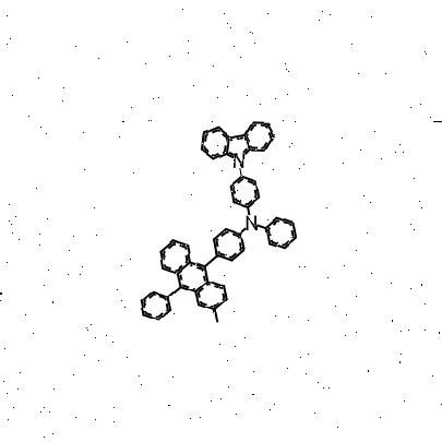 Cc1ccc2c(-c3ccc(N(c4ccccc4)c4ccc(-n5c6ccccc6c6ccccc65)cc4)cc3)c3ccccc3c(-c3ccccc3)c2c1